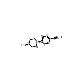 C#Cc1ccc(N2CCC(O)CC2)cc1